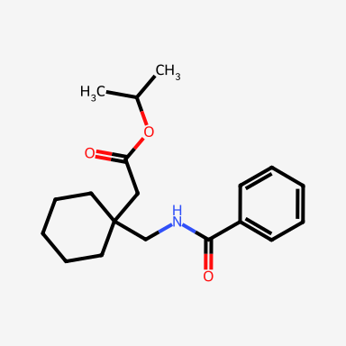 CC(C)OC(=O)CC1(CNC(=O)c2ccccc2)CCCCC1